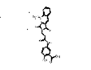 COc1ccccc1/C=C1\SC(=S)N(CCC(=O)Nc2ccc(O)c(C(=O)O)c2)C1=O